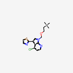 C[Si](C)(C)CCOCn1cc(-c2nccs2)c2c(Cl)ccnc21